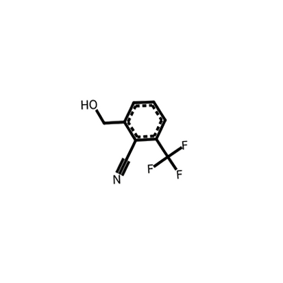 N#Cc1c(CO)cccc1C(F)(F)F